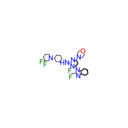 FC(F)c1nc2ccccc2n1-c1cc(N2CCOCC2)nc(NC[C@H]2CC[C@@H](N3CCCC(F)(F)C3)CC2)n1